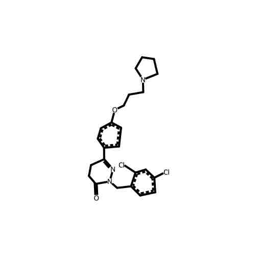 O=C1CCC(c2ccc(OCCCN3CCCC3)cc2)=NN1Cc1ccc(Cl)cc1Cl